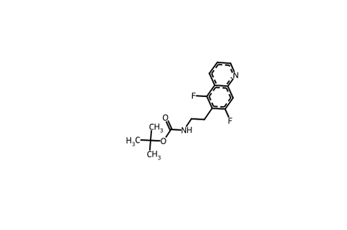 CC(C)(C)OC(=O)NCCc1c(F)cc2ncccc2c1F